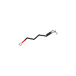 C=CCCC[O]